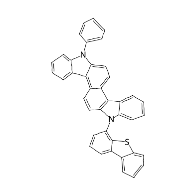 c1ccc(-n2c3ccccc3c3c4ccc5c(c4ccc32)c2ccccc2n5-c2cccc3c2sc2ccccc23)cc1